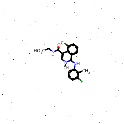 Cc1c(F)cccc1NC1c2cccc(Cl)c2C(C(=O)NCC(=O)O)=CN1C